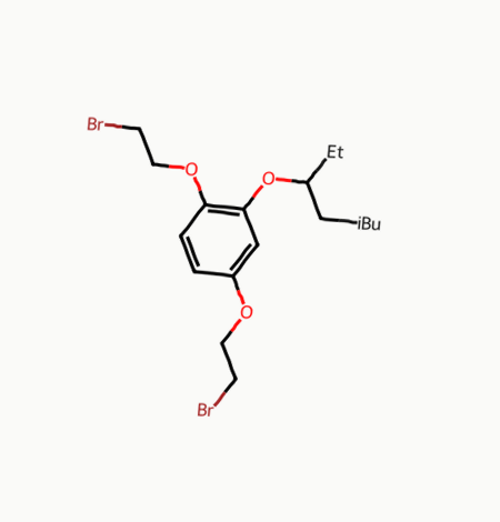 CCC(C)CC(CC)Oc1cc(OCCBr)ccc1OCCBr